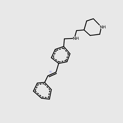 C(=C\c1ccc(CNCC2CCNCC2)cc1)/c1ccccc1